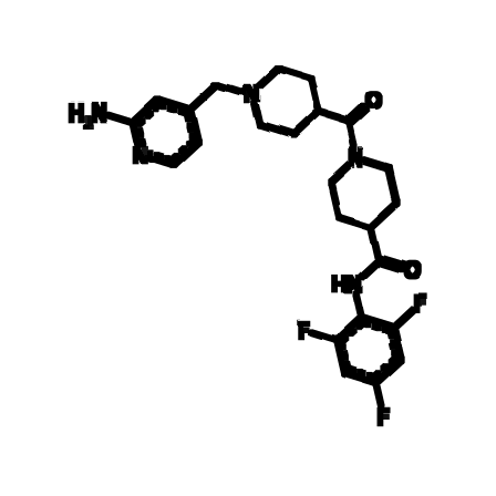 Nc1cc(CN2CCC(C(=O)N3CCC(C(=O)Nc4c(F)cc(F)cc4F)CC3)CC2)ccn1